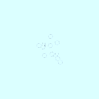 Cc1c(C2Cc3cc4oc5cc6ccccc6cc5c4cc3-c3ccccc32)c(-c2ccc3c(c2)C(c2ccccc2)c2ccccc2-3)nc2ccccc12